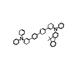 CC1(C)c2ccccc2-c2ccc(N(C3=CCCC(C4=CC=C(c5ccc(C6=CC(N(C7=CC=CCC7)c7ccccc7)=CCC6)cc5)CC4)=C3)c3ccccc3)cc21